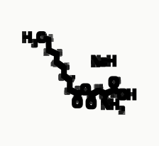 CCCCCCCCCC(=O)OC(=O)C[C@H](N)C(=O)O.[NaH]